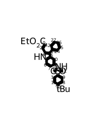 CCOC(=O)C=Cc1[nH]c2ccc(NS(=O)(=O)c3ccc(C(C)(C)C)cc3)cc2c1-c1ccccc1